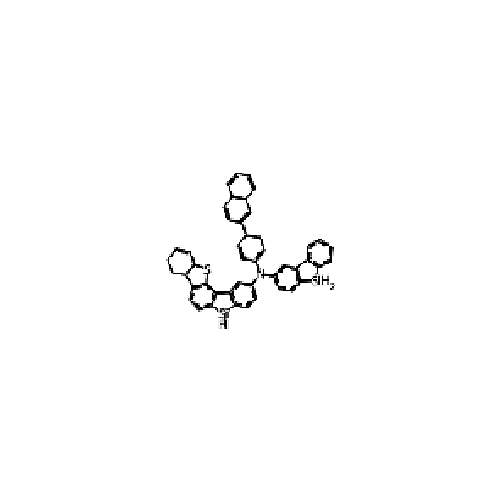 C[SiH]1c2ccc(N(C3=CCC(C4=CC5C=CC=CC5C=C4)C=C3)c3ccc4c(c3)-c3ccccc3[SiH2]4)cc2-c2c1ccc1c2SC2C=CCCC12